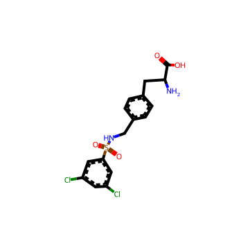 NC(Cc1ccc(CNS(=O)(=O)c2cc(Cl)cc(Cl)c2)cc1)C(=O)O